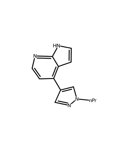 CCCn1cc(-c2ccnc3[nH]ccc23)cn1